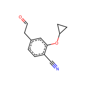 N#Cc1ccc(CC=O)cc1OC1CC1